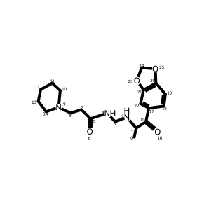 CC(NCNC(=O)CCN1CCCCC1)C(=O)c1ccc2c(c1)OCO2